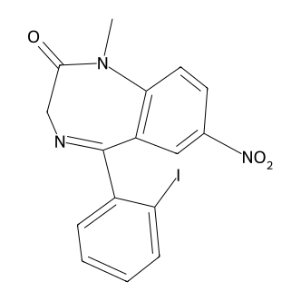 CN1C(=O)CN=C(c2ccccc2I)c2cc([N+](=O)[O-])ccc21